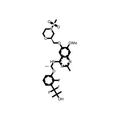 COc1cc2nc(C)nc(N[C@@H](C)Oc3cccc(C(F)(F)C(C)(C)O)c3F)c2cc1OC[C@@H]1CN(S(C)(=O)=O)CCO1